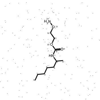 CCCCCC(C)NC(=O)OCCON